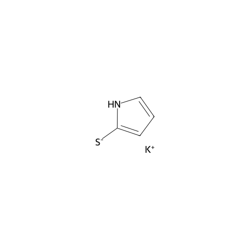 [K+].[S-]c1ccc[nH]1